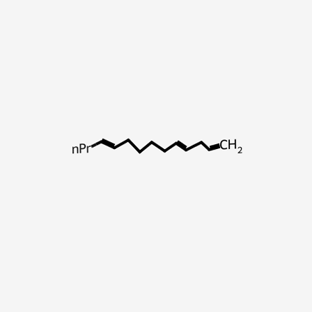 C=CCC=CCCCCC=CCCC